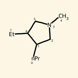 CCCC1CN(C)CC1CC